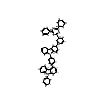 C1=CCC2C(=C1)N(c1ccc(-c3cccc4c3c3ccccc3n4-c3ccccc3)cc1)c1ccc(-c3cccc(-c4nc(-c5ccccc5)nc(-c5ccccc5)n4)c3)cc12